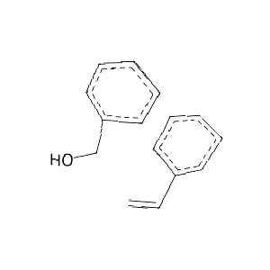 C=Cc1ccccc1.OCc1ccccc1